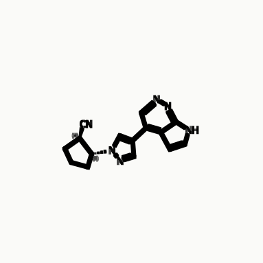 N#C[C@@H]1CCC[C@H]1n1cc(-c2cnnc3[nH]ccc23)cn1